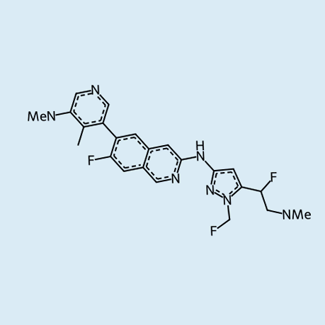 CNCC(F)c1cc(Nc2cc3cc(-c4cncc(NC)c4C)c(F)cc3cn2)nn1CF